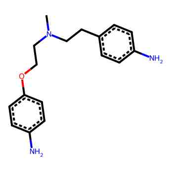 CN(CCOc1ccc(N)cc1)CCc1ccc(N)cc1